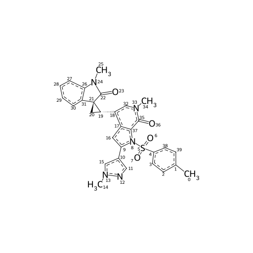 Cc1ccc(S(=O)(=O)n2c(-c3cnn(C)c3)cc3c([C@@H]4C[C@@]45C(=O)N(C)c4ccccc45)cn(C)c(=O)c32)cc1